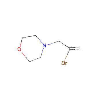 C=C(Br)CN1CCOCC1